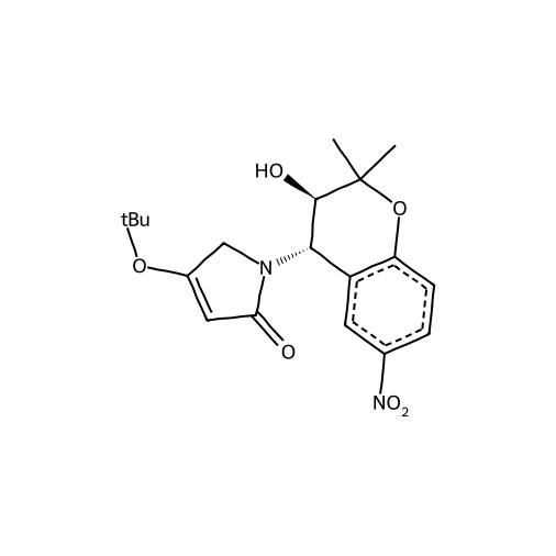 CC(C)(C)OC1=CC(=O)N([C@H]2c3cc([N+](=O)[O-])ccc3OC(C)(C)[C@@H]2O)C1